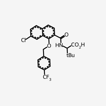 CC(C)(C)C(NC(=O)c1ccc2ccc(Cl)cc2c1OCc1ccc(C(F)(F)F)cc1)C(=O)O